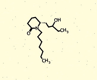 CCCCCCCN1C(=O)CCC[C@@H]1CCC(O)CC